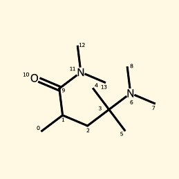 CC(CC(C)(C)N(C)C)C(=O)N(C)C